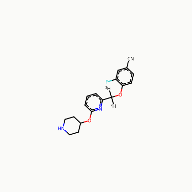 [2H]C([2H])(Oc1ccc(C#N)cc1F)c1cccc(OC2CCNCC2)n1